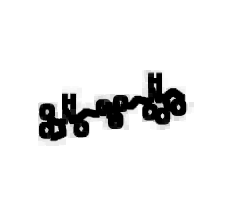 O=C(CCO[N+](=O)OCCC(=O)NC1CCOC1=O)NC1CCOC1=O